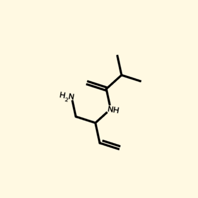 C=CC(CN)NC(=C)C(C)C